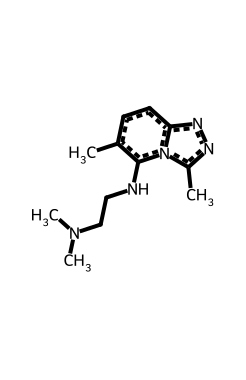 Cc1ccc2nnc(C)n2c1NCCN(C)C